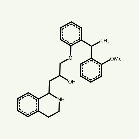 COc1ccccc1C(C)c1ccccc1OCC(O)CC1NCCc2ccccc21